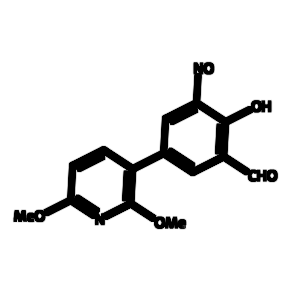 COc1ccc(-c2cc(C=O)c(O)c(N=O)c2)c(OC)n1